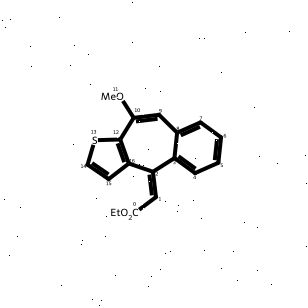 CCOC(=O)C=C1c2ccccc2C=C(OC)c2sccc21